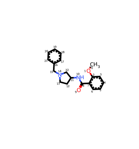 COc1ccccc1C(=O)NC1CCN(Cc2ccccc2)C1